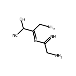 N#CC(O)C(CN)=NC(=N)CN